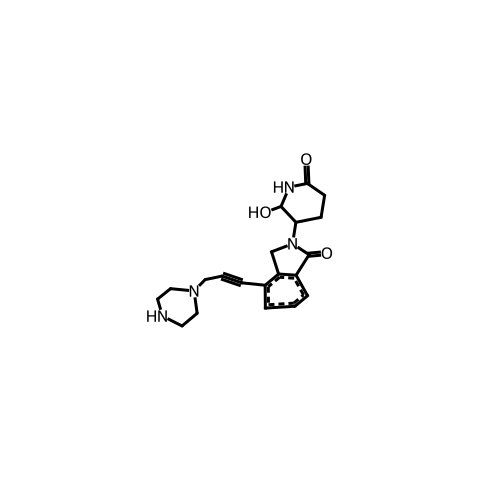 O=C1CCC(N2Cc3c(C#CCN4CCNCC4)cccc3C2=O)C(O)N1